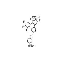 CCCCCCCCC[C@H]1CC[C@H](CCc2ccc(-c3cc(F)c(C(=O)O)c(F)c3-c3cc(F)c(F)c(F)c3)cc2)CC1